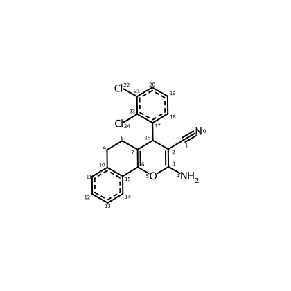 N#CC1=C(N)OC2=C(CCc3ccccc32)C1c1cccc(Cl)c1Cl